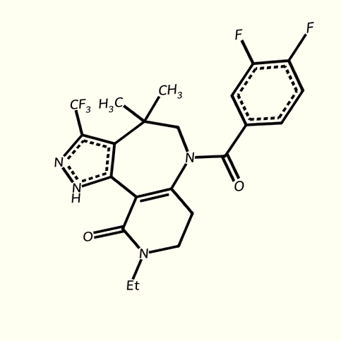 CCN1CCC2=C(C1=O)c1[nH]nc(C(F)(F)F)c1C(C)(C)CN2C(=O)c1ccc(F)c(F)c1